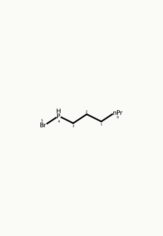 CCCCCCPBr